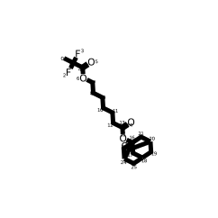 CC(F)(F)C(=O)OCCCCCCC(=O)OC12CC3CC(C1)C(=O)C(C3)C2